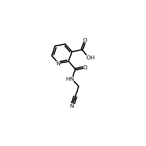 N#CCNC(=O)c1ncccc1C(=O)O